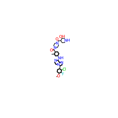 COc1ccc(-c2cnc3c(Nc4ccc(C(=O)N5CCN(C(=O)C6CCNC[C@@H]6O)CC5)c(C)c4)nccn23)c(Cl)c1F